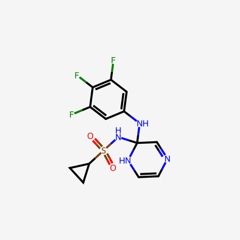 O=S(=O)(NC1(Nc2cc(F)c(F)c(F)c2)C=NC=CN1)C1CC1